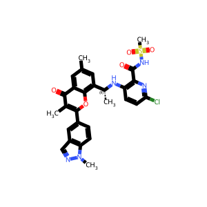 Cc1cc([C@@H](C)Nc2ccc(Cl)nc2C(=O)NS(C)(=O)=O)c2oc(-c3ccc4c(cnn4C)c3)c(C)c(=O)c2c1